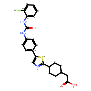 O=C(O)CC1CCC(c2ncc(-c3ccc(NC(=O)Nc4ccccc4F)cc3)s2)CC1